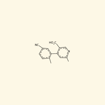 Cc1cc(-c2cc(C#N)ccc2C)c(C(=O)O)cn1